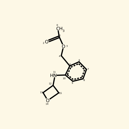 CC(=O)OCc1ccccc1NC1COC1